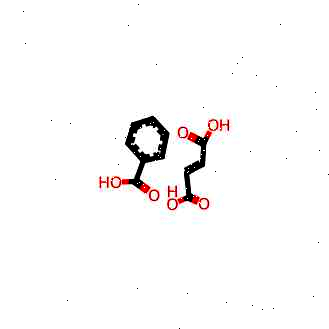 O=C(O)/C=C/C(=O)O.O=C(O)c1ccccc1